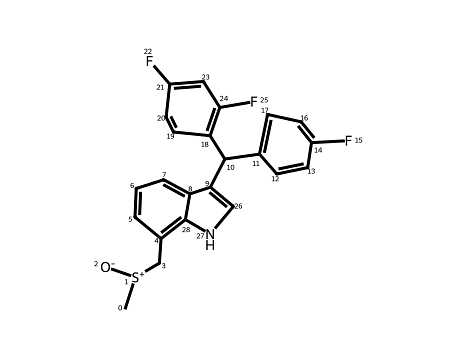 C[S+]([O-])Cc1cccc2c(C(c3ccc(F)cc3)c3ccc(F)cc3F)c[nH]c12